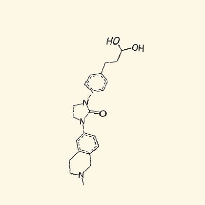 CN1CCc2cc(N3CCN(c4ccc(CCC(O)O)cc4)C3=O)ccc2C1